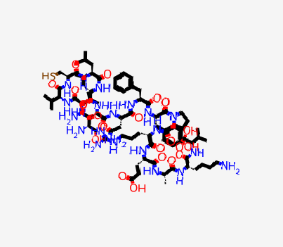 CC(C)C[C@H](NC(=O)[C@H](CC(C)C)NC(=O)[C@H](CS)NC(=O)[C@@H](NC(=O)[C@@H](NC(=O)[C@@H](N)CO)C(C)C)C(C)C)C(=O)N[C@@H](CC(N)=O)C(=O)N[C@@H](CC(N)=O)C(=O)N[C@@H](Cc1ccccc1)C(=O)N[C@@H](Cc1ccc(O)cc1)C(=O)N1CCC[C@H]1C(=O)N[C@@H](CCCNC(=N)N)C(=O)N[C@@H](CCC(=O)O)C(=O)N[C@@H](C)C(=O)N[C@@H](CCCCN)C(=O)N[C@H](C(=O)O)C(C)C